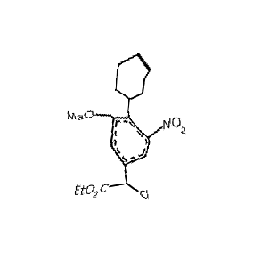 CCOC(=O)C(Cl)c1cc(OC)c(C2CCCCC2)c([N+](=O)[O-])c1